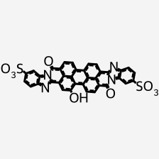 O=c1c2ccc3c4c(O)cc5c6c(ccc(c7ccc(c2c73)c2nc3ccc(S(=O)(=O)O)cc3n12)c46)c(=O)n1c2cc(S(=O)(=O)O)ccc2nc51